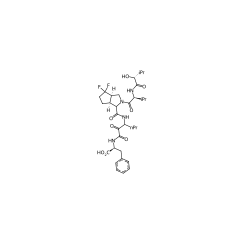 CCCC(NC(=O)C1[C@H]2CCC(F)(F)[C@H]2CN1C(=O)[C@@H](NC(=O)[C@H](O)C(C)C)C(C)C)C(=O)C(=O)N[C@@H](Cc1ccccc1)C(=O)O